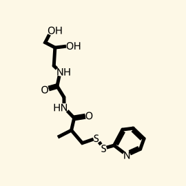 CC(CSSc1ccccn1)C(=O)NCC(=O)NCC(O)CO